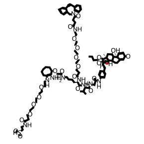 CCCC1O[C@@H]2CC3[C@@H]4CCC5=CC(=O)C=C[C@]5(C)C4[C@@H](O)C[C@]3(C)[C@]2(C(=O)CCc2ccc(NC(=O)CNC(=O)C(NC(=O)[C@@H](CCCCNC(=O)COC3CCCCC/C(NCCOCCOCCOCCOCCC(=O)NCC[SH](=O)=O)=C\3N)NC(=O)CCOCCOCCOCCOCCNC(=O)CCC(=O)N3Cc4ccccc4C#Cc4ccccc43)C(C)C)cc2)O1